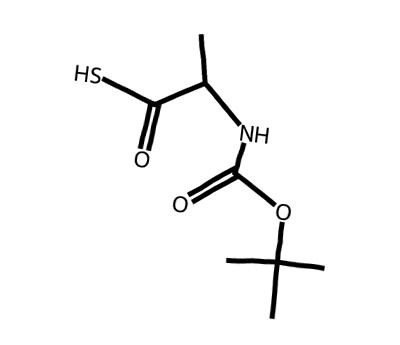 CC(NC(=O)OC(C)(C)C)C(=O)S